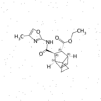 CCOC(=O)[C@H]1[C@H](C(=O)Nc2nc(C)co2)[C@@H]2C=C[C@H]1C21CC1